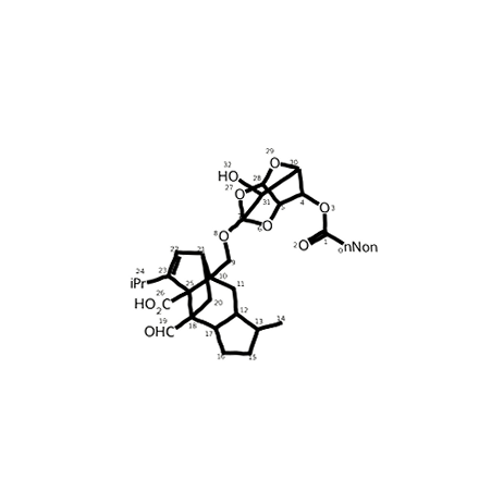 CCCCCCCCCC(=O)OC1C2OC3(OCC45CC6C(C)CCC6C6(C=O)CC4C=C(C(C)C)C65C(=O)O)OC2OC1C3O